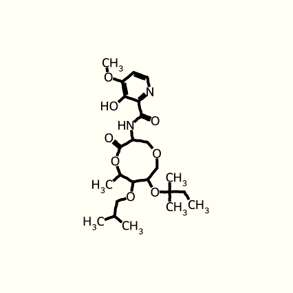 CCC(C)(C)OC1COCC(NC(=O)c2nccc(OC)c2O)C(=O)OC(C)C1OCC(C)C